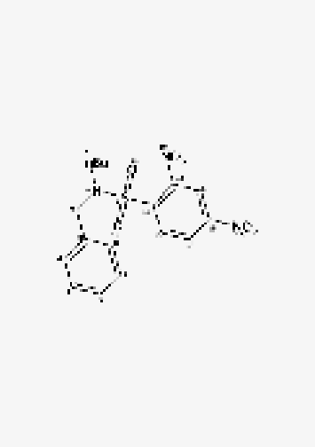 CCCCN(Cc1ccccc1)S(=O)(=O)c1ccc([N+](=O)[O-])cc1[N+](=O)[O-]